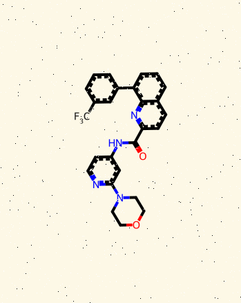 O=C(Nc1ccnc(N2CCOCC2)c1)c1ccc2cccc(-c3cccc(C(F)(F)F)c3)c2n1